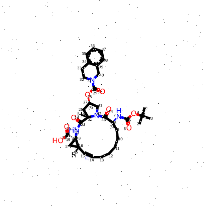 CC(C)(C)OC(=O)N[C@H]1CCCCC/C=C\[C@@H]2C[C@@]2(C(=O)O)NC(=O)[C@@H]2C[C@@H](OC(=O)N3CCc4ccccc4C3)CN2C1=O